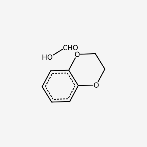 O=CO.c1ccc2c(c1)OCCO2